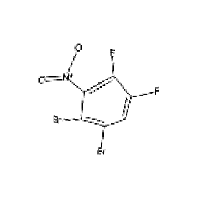 O=[N+]([O-])c1c(F)c(F)cc(Br)c1Br